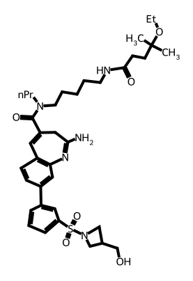 CCCN(CCCCCNC(=O)CCC(C)(C)OCC)C(=O)C1=Cc2ccc(-c3cccc(S(=O)(=O)N4CC(CO)C4)c3)cc2N=C(N)C1